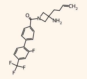 C=CCCC1(N)CN(C(=O)c2ccc(-c3ccc(C(F)(F)F)cc3F)cc2)C1